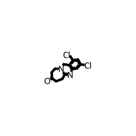 O=C1CCC2=Nc3cc(Cl)cc(Cl)c3CN2CC1